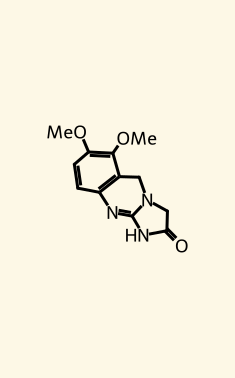 COc1ccc2c(c1OC)CN1CC(=O)NC1=N2